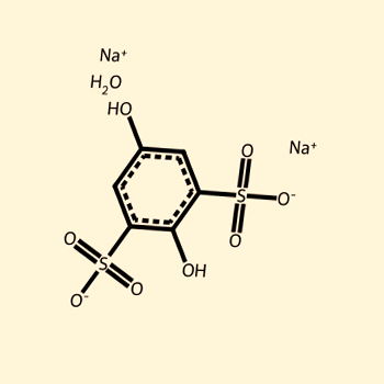 O.O=S(=O)([O-])c1cc(O)cc(S(=O)(=O)[O-])c1O.[Na+].[Na+]